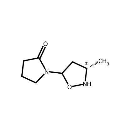 C[C@H]1CC(N2CCCC2=O)ON1